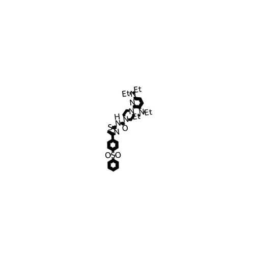 CCN(CC)c1ccc(N(CC)CC)c(N2CCN(C(=O)Nc3nc(-c4ccc(S(=O)(=O)c5ccccc5)cc4)cs3)CC2)n1